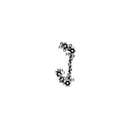 CC1(N)CCN(c2cnc(Sc3cccc(NC(=O)COCCOCCOCCOCC(=O)Nc4cccc5c4CN(C4CCC(=O)NC4=O)C5=O)c3)cn2)CC1